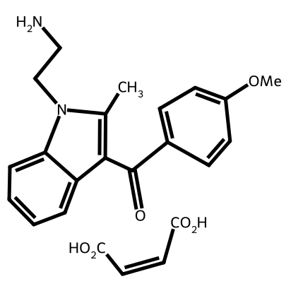 COc1ccc(C(=O)c2c(C)n(CCN)c3ccccc23)cc1.O=C(O)/C=C\C(=O)O